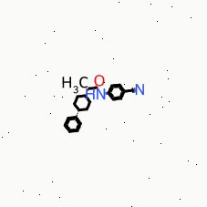 CC(C(=O)Nc1ccc(C#N)cc1)[C@H]1CC[C@@H](c2ccccc2)CC1